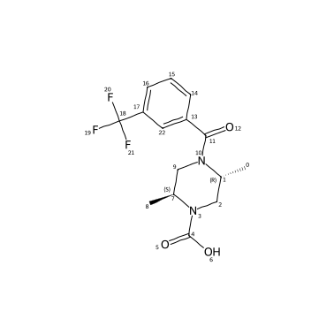 C[C@@H]1CN(C(=O)O)[C@@H](C)CN1C(=O)c1cccc(C(F)(F)F)c1